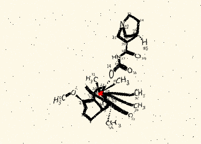 CO[C@@H]1CCC23CC[C@@H](C)[C@](C)(C12)[C@H](OC(=O)NC(=O)[C@H]1CN2CC[C@@H]1C2)CC(C)(C)C(=O)[C@@H]3C